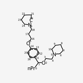 CCCC(OCCN1CCCCC1)c1ccc(OCCCN2CCCCC2)cc1